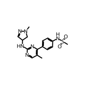 Cc1cnc(NC2C=NN(C)C2)nc1-c1ccc(NS(C)(=O)=O)cc1